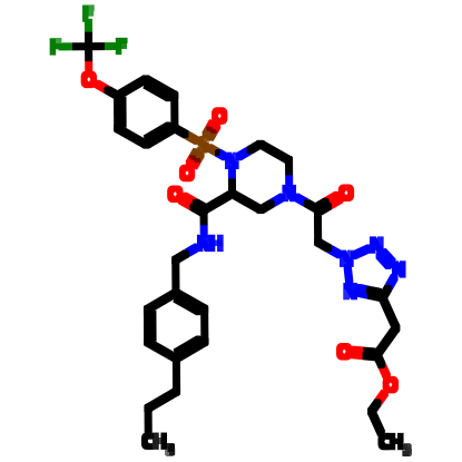 CCCc1ccc(CNC(=O)C2CN(C(=O)Cn3nnc(CC(=O)OCC)n3)CCN2S(=O)(=O)c2ccc(OC(F)(F)F)cc2)cc1